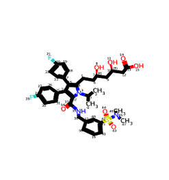 CC(C)n1c(CC[C@@H](O)C[C@@H](O)CC(=O)O)c(-c2ccc(F)cc2)c(-c2ccc(F)cc2)c1C(=O)NCc1cccc(S(=O)(=O)N(C)C)c1